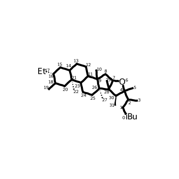 CCC(C)CC(C)C1(C)OC2CC3(C)C4CCC5C[C@@H](CC)C(C)C[C@]5(C)C4CC[C@]3(C)C2(C)[C@@H]1C